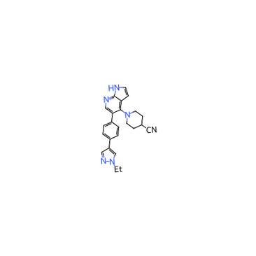 CCn1cc(-c2ccc(-c3cnc4[nH]ccc4c3N3CCC(C#N)CC3)cc2)cn1